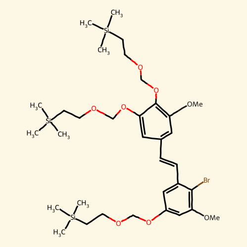 COc1cc(OCOCC[Si](C)(C)C)cc(/C=C/c2cc(OC)c(OCOCC[Si](C)(C)C)c(OCOCC[Si](C)(C)C)c2)c1Br